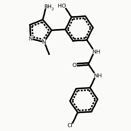 Bc1cnn(C)c1-c1cc(NC(=O)Nc2ccc(Cl)cc2)ccc1O